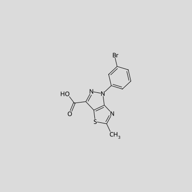 Cc1nc2c(s1)c(C(=O)O)nn2-c1cccc(Br)c1